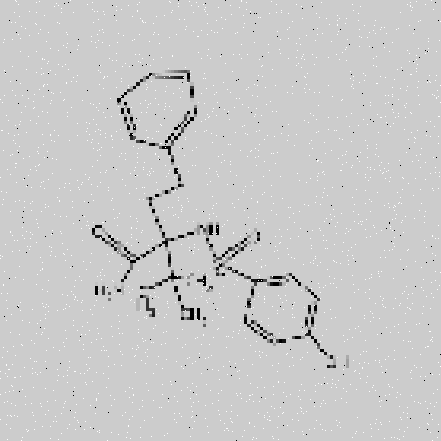 CC(C)(C)C(CCc1ccccc1)(NS(=O)(=O)c1ccc(O)cc1)C(N)=O